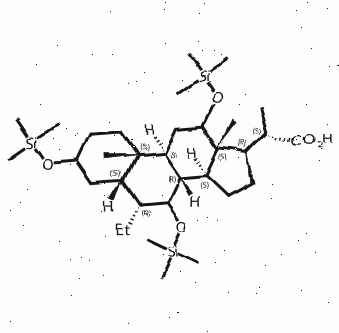 CC[C@H]1C(O[Si](C)(C)C)[C@@H]2[C@H](CC(O[Si](C)(C)C)[C@]3(C)[C@@H]([C@H](C)C(=O)O)CC[C@@H]23)[C@@]2(C)CCC(O[Si](C)(C)C)C[C@@H]12